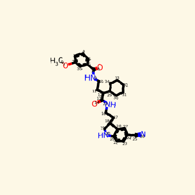 COc1cccc(C(=O)NCCC(C(=O)NCCC2CNc3ccc(C#N)cc32)C2CCCCC2)c1